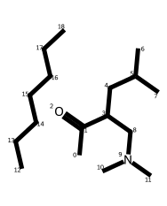 CC(=O)C(CC(C)C)CN(C)C.CCCCCCC